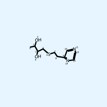 CC(O)C(O)CSCCc1cnccn1